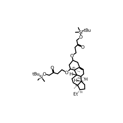 CC[C@H]1CC[C@H]2[C@@H]3CC=C4CC(OCCC(=O)CO[Si](C)(C)C(C)(C)C)CC(OCCC(=O)CO[Si](C)(C)C(C)(C)C)[C@]4(C)[C@H]3CC[C@]12C